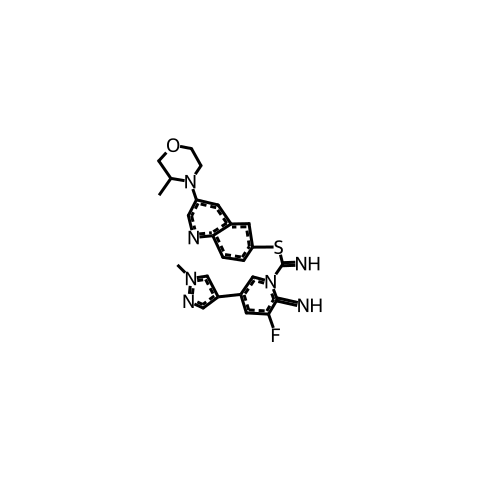 CC1COCCN1c1cnc2ccc(SC(=N)n3cc(-c4cnn(C)c4)cc(F)c3=N)cc2c1